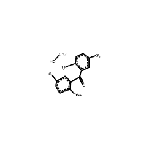 COc1ccc(Cl)cc1C(=O)c1cc(C(F)(F)F)ccc1N.O=CO